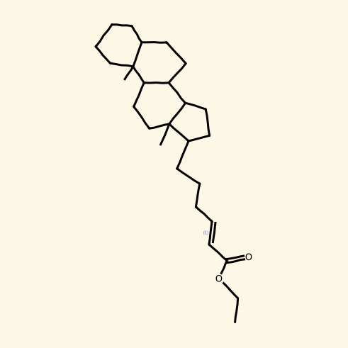 CCOC(=O)/C=C/CCCC1CCC2C3CCC4CCCCC4(C)C3CCC12C